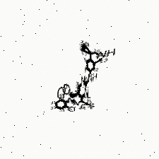 O=c1c2cnc(Nc3ccc4c(c3)CNCC43CC3)nc2c(C(F)(F)F)nn1-c1c(Cl)cccc1Cl